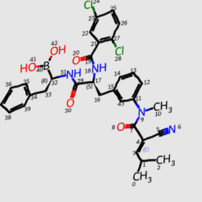 CC(C)/C=C(\C#N)C(=O)N(C)c1cccc(C[C@H](NC(=O)c2cc(Cl)ccc2Cl)C(=O)N[C@@H](Cc2ccccc2)B(O)O)c1